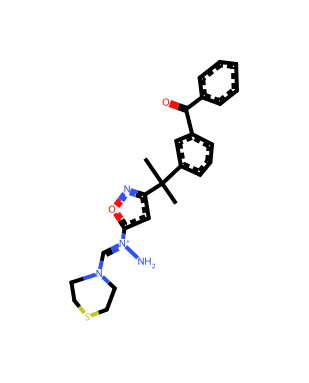 CC(C)(c1cccc(C(=O)c2ccccc2)c1)c1cc([N+](N)=CN2CCSCC2)on1